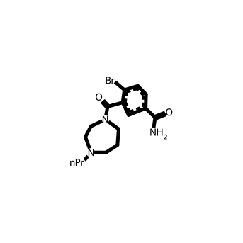 CCCN1CCCN(C(=O)c2cc(C(N)=O)ccc2Br)CC1